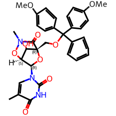 COc1ccc(C(OC[C@]23O[C@@H](n4cc(C)c(=O)[nH]c4=O)[C@@H](ON(C)C2=O)C3O)(c2ccccc2)c2ccc(OC)cc2)cc1